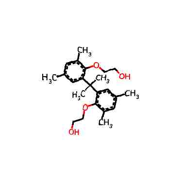 Cc1cc(C)c(OCCO)c(C(C)(C)c2cc(C)cc(C)c2OCCO)c1